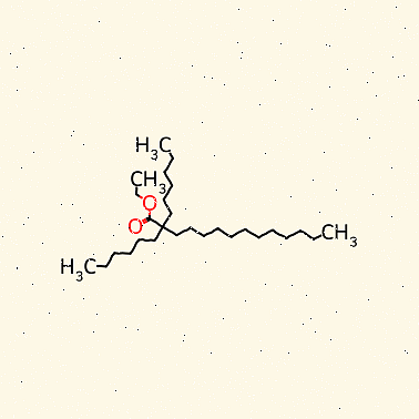 CCCCCCCCCCCCC(CCCCCC)(CCCCCC)C(=O)OCC